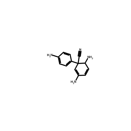 N#CC1(c2ccc(N)cc2)C=C(N)C=CC1N